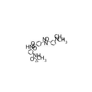 CN(C)c1cccc(-c2nc(-c3ccc(S(=O)(=O)Nc4cccc(NC(=O)C5(C)CC5)c4)cc3)no2)c1